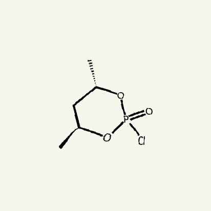 C[C@H]1C[C@H](C)OP(=O)(Cl)O1